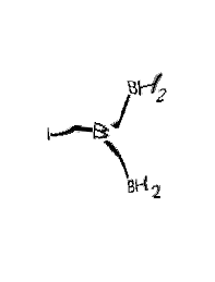 BB(B)I